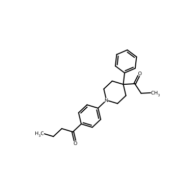 CCCC(=O)c1ccc(N2CCC(C(=O)CC)(c3ccccc3)CC2)cc1